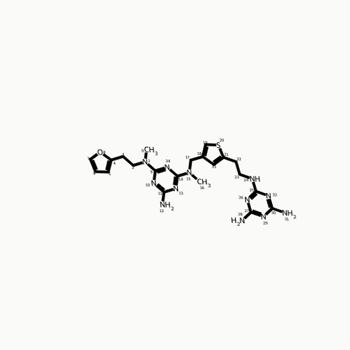 CN(CCc1ccco1)c1nc(N)nc(N(C)Cc2csc(CCNc3nc(N)nc(N)n3)c2)n1